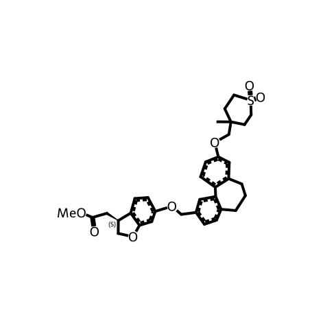 COC(=O)C[C@@H]1COc2cc(OCc3ccc4c(c3)-c3ccc(OCC5(C)CCS(=O)(=O)CC5)cc3CCC4)ccc21